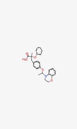 CC(Oc1ccc(CC(C)(Oc2ccccc2)C(=O)O)cc1)N1CCOc2ccccc21